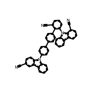 N#Cc1ccc2c(c1)c1ccccc1n2-c1ccc(-c2ccc(-c3c(C#N)cccc3-n3c4ccccc4c4cccc(C#N)c43)cc2)cc1